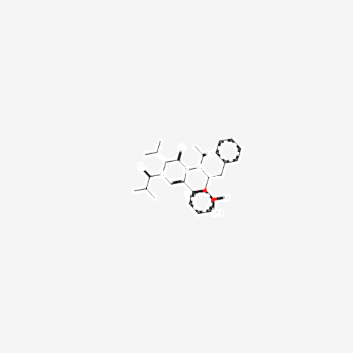 CC(=O)N([C@@H](Cc1ccccc1)C(O)C(=O)O)N1C(=O)[C@@H](C(C)C)N(C(=O)C(C)C)C=C1c1ccccc1